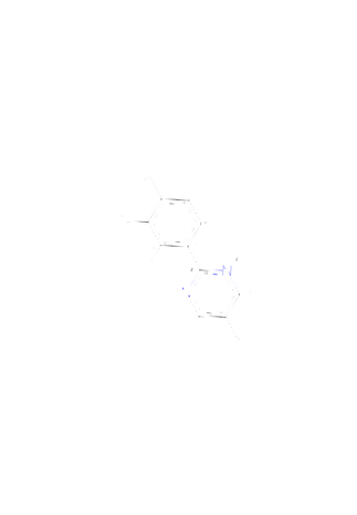 Cc1cnc(-c2ccc(C)c(F)c2F)nc1